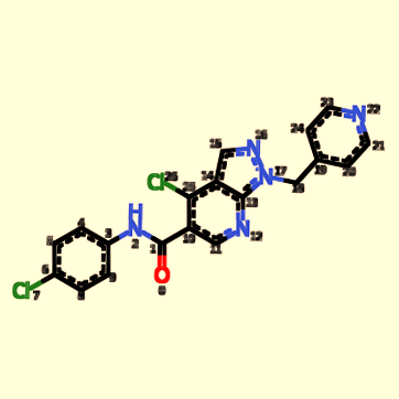 O=C(Nc1ccc(Cl)cc1)c1cnc2c(cnn2Cc2ccncc2)c1Cl